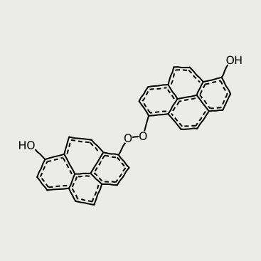 Oc1ccc2ccc3c(OOc4ccc5ccc6ccc(O)c7ccc4c5c67)ccc4ccc1c2c43